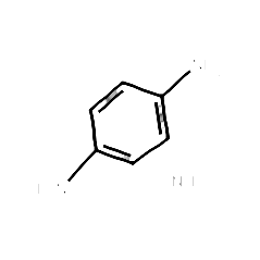 N.Nc1ccc(N)cc1